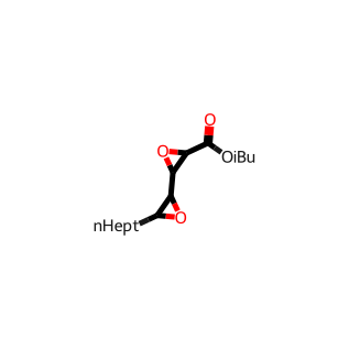 CCCCCCCC1OC1C1OC1C(=O)OCC(C)C